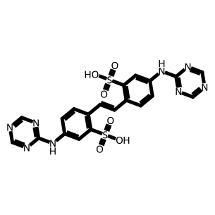 O=S(=O)(O)c1cc(Nc2ncncn2)ccc1C=Cc1ccc(Nc2ncncn2)cc1S(=O)(=O)O